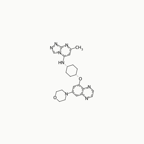 Cc1cc(N[C@H]2CC[C@@H](Oc3cc(N4CCOCC4)cc4nccnc34)CC2)n2cnnc2n1